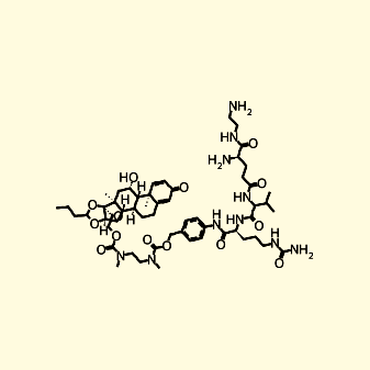 CCCC1O[C@@H]2C[C@H]3[C@@H]4CCC5=CC(=O)C=C[C@]5(C)[C@H]4[C@@H](O)C[C@]3(C)[C@]2(C(=O)COC(=O)N(C)CCN(C)C(=O)OCc2ccc(NC(=O)[C@H](CCCNC(N)=O)NC(=O)C(NC(=O)CC[C@@H](N)C(=O)NCCN)C(C)C)cc2)O1